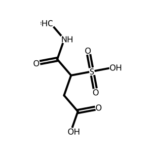 [CH]NC(=O)C(CC(=O)O)S(=O)(=O)O